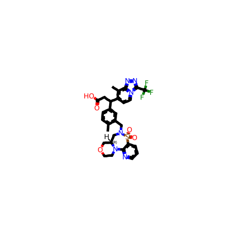 Cc1ccc(C(CC(=O)O)c2ccn3c(C(F)(F)F)nnc3c2C)cc1CN1C[C@@H]2COCCN2c2ncccc2S1(=O)=O